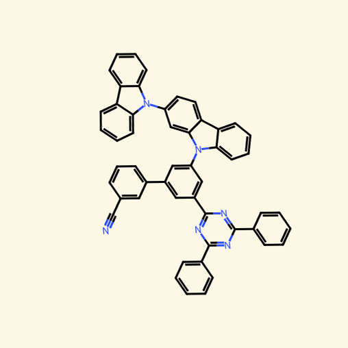 N#Cc1cccc(-c2cc(-c3nc(-c4ccccc4)nc(-c4ccccc4)n3)cc(-n3c4ccccc4c4ccc(-n5c6ccccc6c6ccccc65)cc43)c2)c1